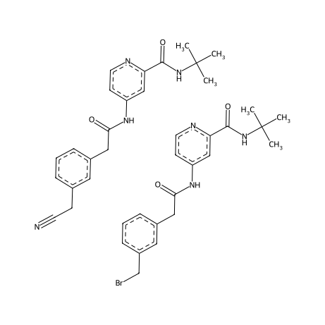 CC(C)(C)NC(=O)c1cc(NC(=O)Cc2cccc(CBr)c2)ccn1.CC(C)(C)NC(=O)c1cc(NC(=O)Cc2cccc(CC#N)c2)ccn1